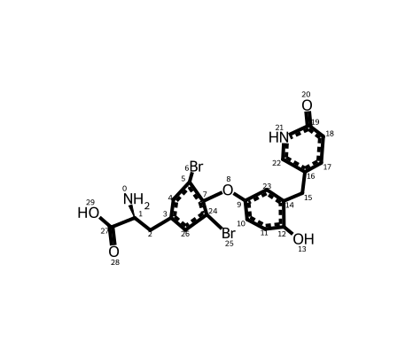 N[C@@H](Cc1cc(Br)c(Oc2ccc(O)c(Cc3ccc(=O)[nH]c3)c2)c(Br)c1)C(=O)O